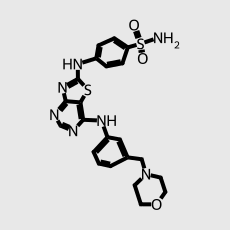 NS(=O)(=O)c1ccc(Nc2nc3ncnc(Nc4cccc(CN5CCOCC5)c4)c3s2)cc1